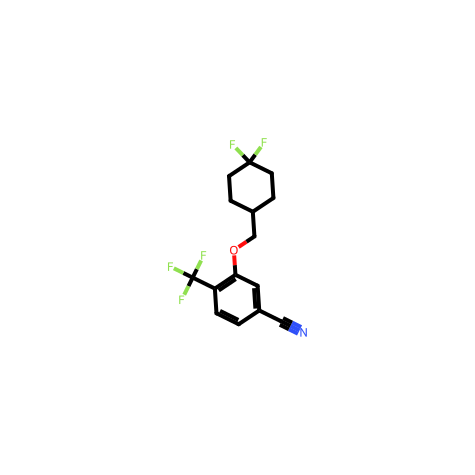 N#Cc1ccc(C(F)(F)F)c(OCC2CCC(F)(F)CC2)c1